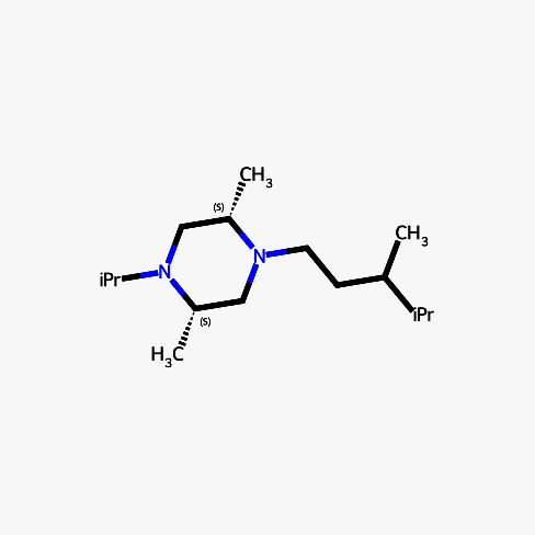 CC(C)C(C)CCN1C[C@H](C)N(C(C)C)C[C@@H]1C